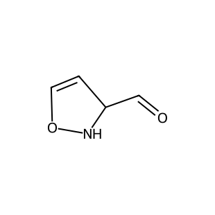 O=CC1C=CON1